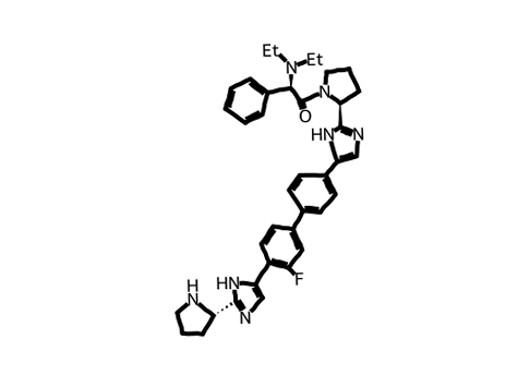 CCN(CC)[C@@H](C(=O)N1CCC[C@H]1c1ncc(-c2ccc(-c3ccc(-c4cnc([C@@H]5CCCN5)[nH]4)c(F)c3)cc2)[nH]1)c1ccccc1